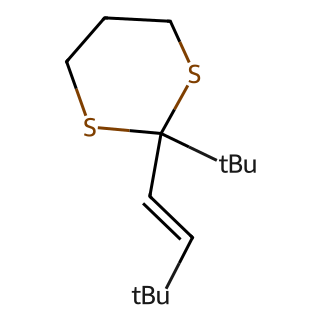 CC(C)(C)/C=C/C1(C(C)(C)C)SCCCS1